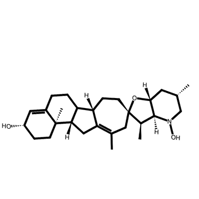 CC1=C2C[C@H]3C(CCC4=C[C@@H](O)CC[C@@]43C)[C@@H]2CC[C@@]2(C1)O[C@@H]1C[C@H](C)CN(O)[C@H]1[C@H]2C